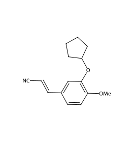 COc1ccc(C=CC#N)cc1OC1CCCC1